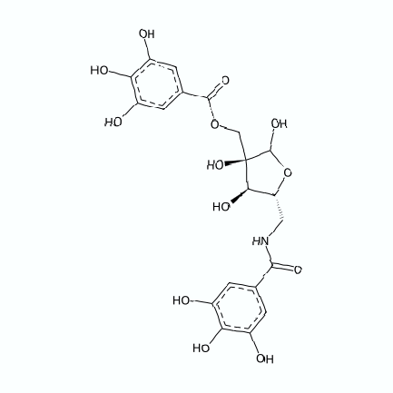 O=C(NC[C@H]1OC(O)[C@@](O)(COC(=O)c2cc(O)c(O)c(O)c2)[C@@H]1O)c1cc(O)c(O)c(O)c1